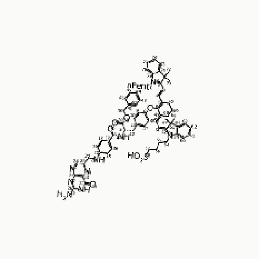 CCCCC[N+]1=C(/C=C/C2=C(Oc3ccc(C[C@H](NC(=O)c4ccc(NCc5cnc6nc(N)[nH]c(=O)c6n5)cc4)C(=O)OCc4ccccc4)cc3)C(=C/C=C3/N(CCCCS(=O)(=O)O)c4ccccc4C3(C)C)/CCC2)C(C)(C)c2ccccc21